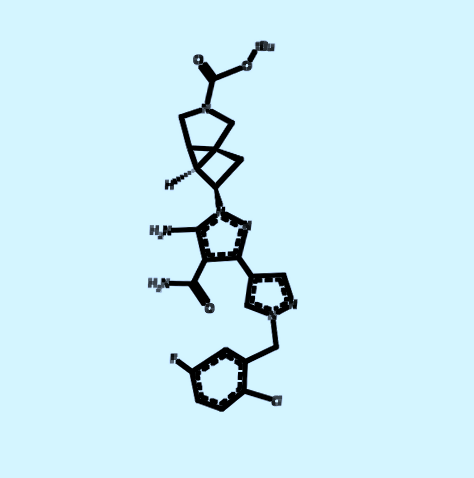 CC(C)(C)OC(=O)N1CC2[C@@H]3[C@H](n4nc(-c5cnn(Cc6cc(F)ccc6Cl)c5)c(C(N)=O)c4N)C[C@]23C1